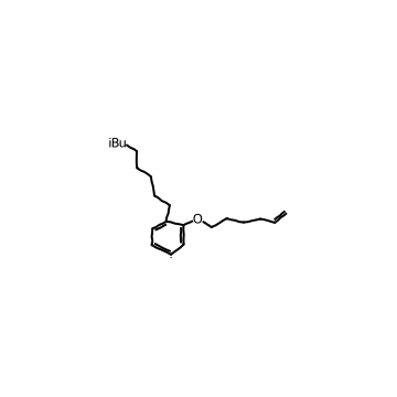 C=CCCCCOc1c[c]ccc1CCCCCC(C)CC